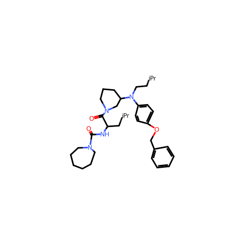 CC(C)CCN(c1ccc(OCc2ccccc2)cc1)C1CCCN(C(=O)C(CC(C)C)NC(=O)N2CCCCCC2)C1